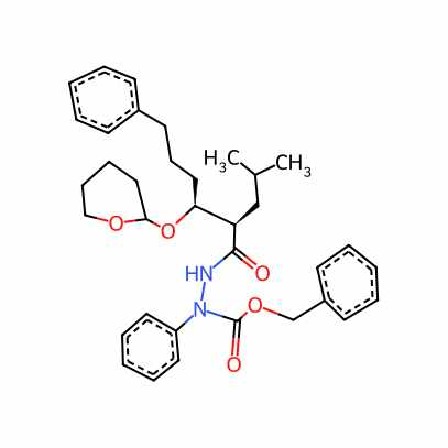 CC(C)C[C@@H](C(=O)NN(C(=O)OCc1ccccc1)c1ccccc1)[C@H](CCCc1ccccc1)OC1CCCCO1